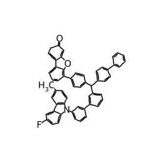 Cc1ccc2c(c1)c1cc(F)ccc1n2-c1cccc(-c2cccc(C(c3ccc(-c4ccccc4)cc3)c3ccc(-c4cccc5c6c(oc45)=CC(=O)CC=6)cc3)c2)c1